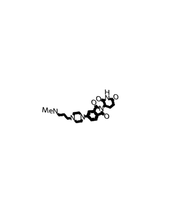 CNCCCN1CCN(c2ccc3c(c2)C(=O)N(C2CCC(=O)NC2=O)C3=O)CC1